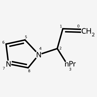 C=CC(CCC)n1ccnc1